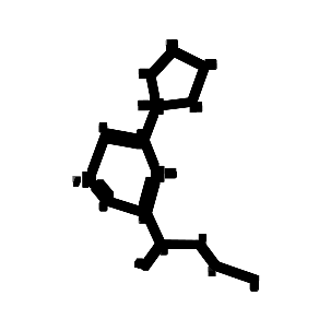 CCCC(C)c1cncc(N2CCCC2)n1